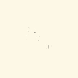 Fc1ccc(CNc2nc(Nc3ccc4[nH]cc(C5=CCNCC5)c4c3)ncc2Br)cc1C(F)(F)F